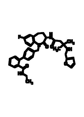 CCNC(=O)c1ccccc1-c1ccc(CN2C(=O)C(NC(=O)CC(C)(C)NCc3ccco3)CCc3cc(F)ccc32)cc1